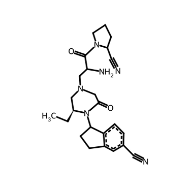 CC[C@H]1CN(CC(N)C(=O)N2CCCC2C#N)CC(=O)N1C1CCc2cc(C#N)ccc21